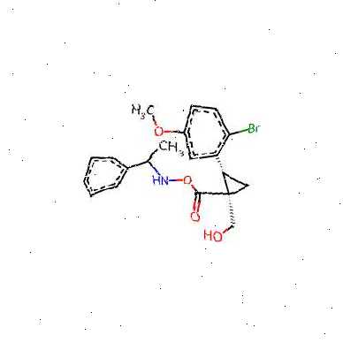 COc1ccc(Br)c([C@@H]2C[C@@]2(CO)C(=O)ONC(C)c2ccccc2)c1